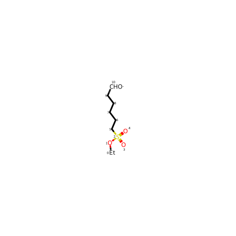 CCOS(=O)(=O)CCCCC[C]=O